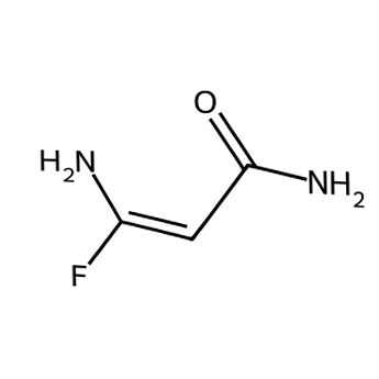 NC(=O)/C=C(\N)F